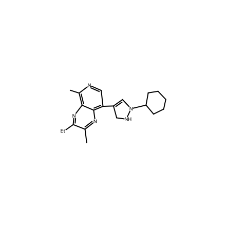 CCc1nc2c(C)ncc(C3=CN(C4CCCCC4)NC3)c2nc1C